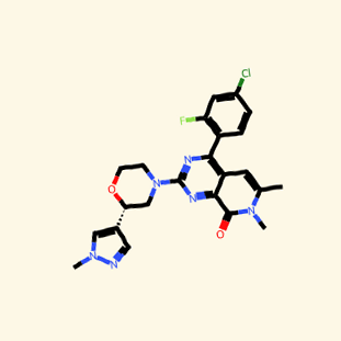 Cc1cc2c(-c3ccc(Cl)cc3F)nc(N3CCO[C@@H](c4cnn(C)c4)C3)nc2c(=O)n1C